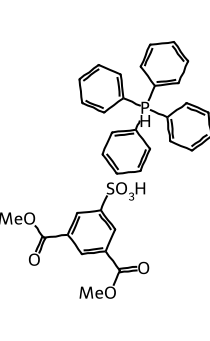 COC(=O)c1cc(C(=O)OC)cc(S(=O)(=O)O)c1.c1ccc([PH](c2ccccc2)(c2ccccc2)c2ccccc2)cc1